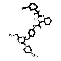 CCC(=O)N[C@H](Cc1ccc(NC(=O)[C@@H](NC(=O)C(F)(F)c2cccc(C#N)c2)C2CCCCC2)cc1)C(=O)N1CCN(C)CC1